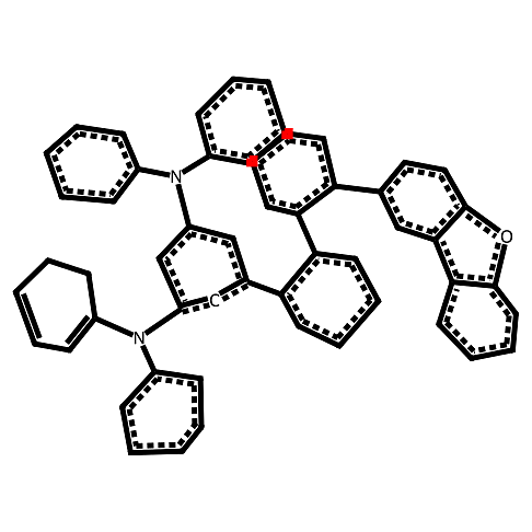 C1=CCCC(N(c2ccccc2)c2cc(-c3ccccc3-c3ccccc3-c3ccc4oc5ccccc5c4c3)cc(N(c3ccccc3)c3ccccc3)c2)=C1